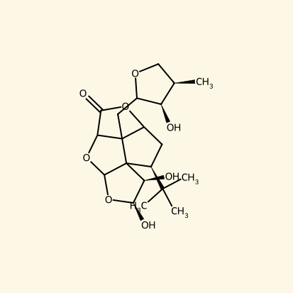 C[C@@H]1COC(CC23C4C[C@@H](C(C)(C)C)C25C(OC3C(=O)O4)O[C@H](O)[C@@H]5O)[C@@H]1O